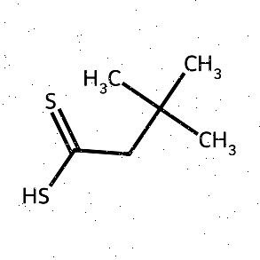 CC(C)(C)CC(=S)S